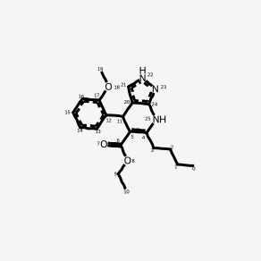 CCCCC1=C(C(=O)OCC)C(c2ccccc2OC)c2c[nH]nc2N1